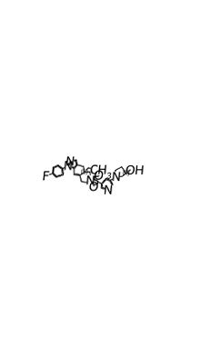 CC[C@]12Cc3cnn(-c4ccc(F)cc4)c3C=C1CCN(S(=O)(=O)c1cncc(N3CC[C@@H](O)C3)c1)C2